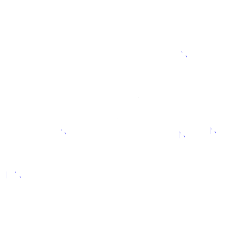 O=C(CN1CCNCC1)c1csnc2cnnc1-2